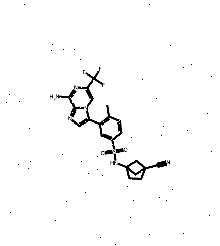 Cc1ccc(S(=O)(=O)NC23CCC(C#N)(C2)C3)cc1-c1cnc2c(N)nc(C(F)(F)F)cn12